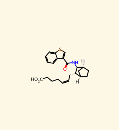 O=C(O)CCC/C=C\C[C@H]1[C@@H]2CC[C@@H](C2)[C@@H]1NC(=O)c1csc2ccccc12